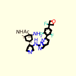 CC(=O)N[C@@H]1[C@H](N)C[C@H](c2ccncc2Nc2ncc3ccc(-c4c(F)cc(C5(F)COC5)cc4F)nn23)C[C@@H]1C